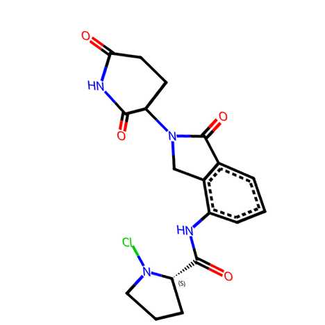 O=C1CCC(N2Cc3c(NC(=O)[C@@H]4CCCN4Cl)cccc3C2=O)C(=O)N1